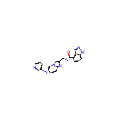 O=C(NCc1cn2cc(Nc3cccnc3)ccc2n1)c1cccc2[nH]ncc12